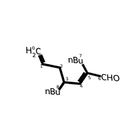 C=CCC(C=C(C=O)CCCC)CCCC